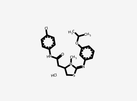 CC(C)Oc1cccc(N=C2SCC(CC(=O)Nc3ccc(Cl)cc3)N2C)c1.Cl